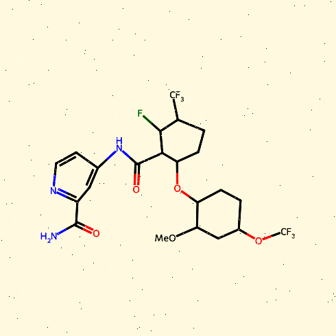 COC1CC(OC(F)(F)F)CCC1OC1CCC(C(F)(F)F)C(F)C1C(=O)Nc1ccnc(C(N)=O)c1